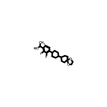 CC(O)c1ccc(C2CCC(C3CCC4(CC3)OCCO4)CC2)c(F)c1F